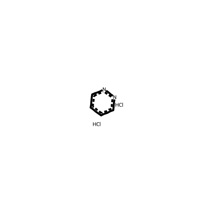 Cl.Cl.c1ccnnc1